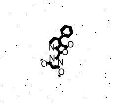 COc1cc(OC)nc(C2OC(=O)c3c(-c4ccccc4)ccnc32)n1